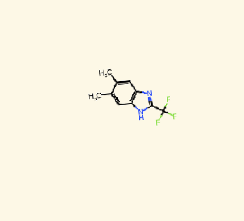 Cc1cc2nc(C(F)(F)F)[nH]c2cc1C